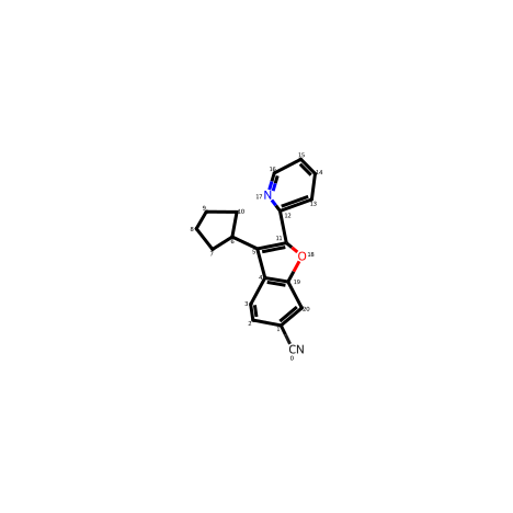 N#Cc1ccc2c(C3CCCC3)c(-c3ccccn3)oc2c1